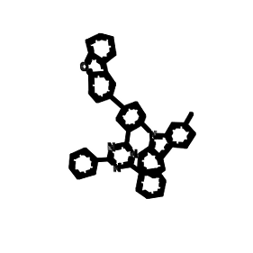 Cc1ccc2c3ccccc3n(-c3ccc(-c4ccc5oc6ccccc6c5c4)cc3-c3nc(-c4ccccc4)nc(-c4ccccc4)n3)c2c1